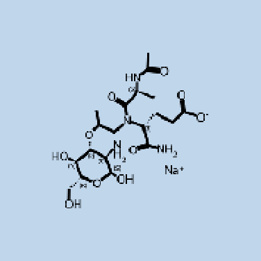 CC(=O)N[C@@H](C)C(=O)N(CC(C)O[C@@H]1[C@@H](N)[C@@H](O)O[C@H](CO)[C@H]1O)[C@H](CCC(=O)[O-])C(N)=O.[Na+]